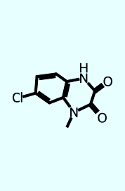 Cn1c(=O)c(=O)[nH]c2ccc(Cl)cc21